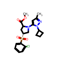 COC(=O)C1C[C@@H](S(=O)(=O)c2ccccc2Cl)CN1c1cc(C)nn1C1CCC1